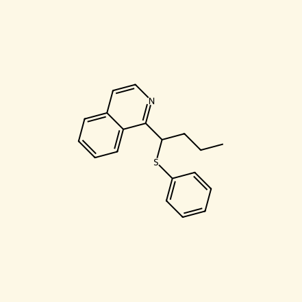 CCCC(Sc1ccccc1)c1nccc2ccccc12